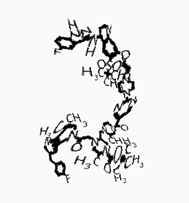 CC1CN(CC(=O)N2CC(C)(C)c3ncc(Cc4ccc(F)cc4)cc32)C(CN2CCN(C(=O)c3cnc(N4CCN(CCOc5cc6nccc(Nc7n[nH]c8ccc(F)cc78)c6cc5S(=O)(=O)C(C)(C)C)CC4)nc3)C[C@H]2C)CN1C(=O)OC(C)(C)C